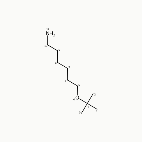 CC(C)(C)OCCCCCCN